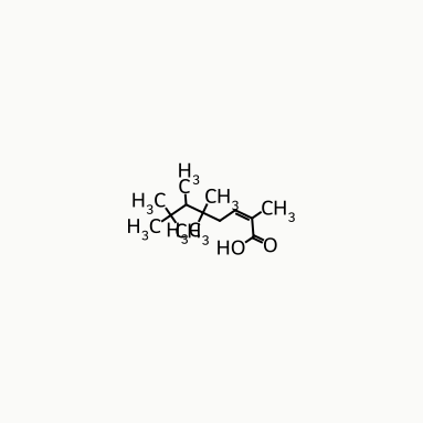 CC(=CCC(C)(C)C(C)C(C)(C)C)C(=O)O